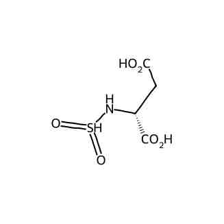 O=C(O)C[C@@H](N[SH](=O)=O)C(=O)O